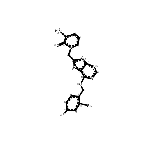 Nc1cccn(Cc2nc3c(OCc4ccc(F)cc4F)ncnc3[nH]2)c1=O